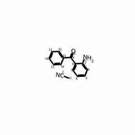 CC#N.Nc1ccccc1C(=O)c1ccccc1